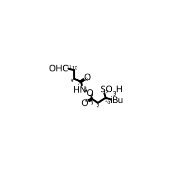 CCC(C)C(CC(=O)ONC(=O)CCC=O)S(=O)(=O)O